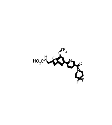 O=C(O)NCc1cc2cc(-c3ccc(C(=O)N4CCC(F)(F)CC4)cn3)cc(OC(F)(F)F)c2o1